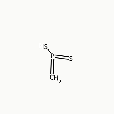 C=P(=S)S